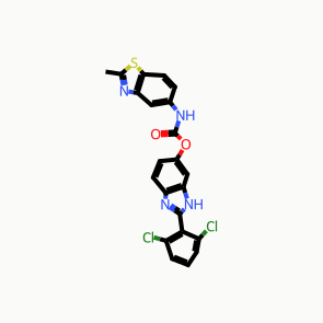 Cc1nc2cc(NC(=O)Oc3ccc4nc(-c5c(Cl)cccc5Cl)[nH]c4c3)ccc2s1